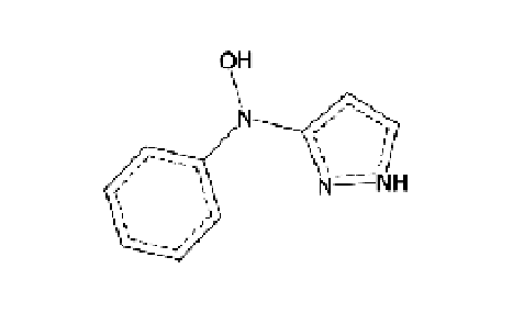 ON(c1ccccc1)c1cc[nH]n1